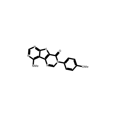 CNc1ncnc2sc3c(=O)n(-c4ccc(OC)cc4)cnc3c12